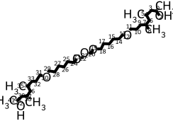 CC(O)CC(C)CC(C)CCCOCCCCCCOCOCOCCCCCCOCCCC(C)CC(C)CC(C)O